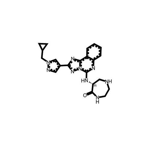 O=C1NCCNC[C@H]1Nc1nc2ccccc2c2nc(-c3cnn(CC4CC4)c3)nn12